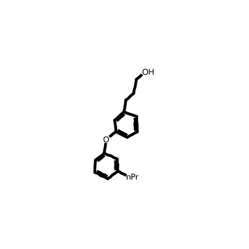 CCCc1cccc(Oc2cccc(CCCO)c2)c1